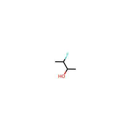 CC(O)C(C)F